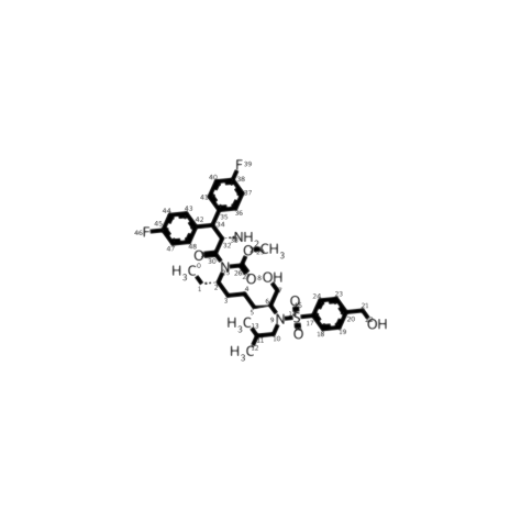 CC[C@@H](CCC[C@@H](CO)N(CC(C)C)S(=O)(=O)c1ccc(CO)cc1)N(C(=O)OC)C(=O)[C@@H](N)C(c1ccc(F)cc1)c1ccc(F)cc1